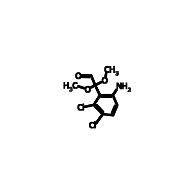 COC(C=O)(OC)c1c(N)ccc(Cl)c1Cl